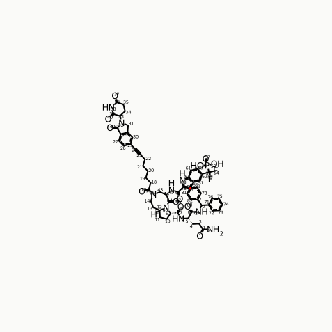 NC(=O)CC[C@H](NC(=O)[C@@H]1CC[C@@H]2CCN(C(=O)CCCCCC#Cc3ccc4c(c3)CN(C3CCC(=O)NC3=O)C4=O)C[C@H](NC(=O)c3cc4cc(C(F)(F)P(=O)(O)O)ccc4[nH]3)C(=O)N21)C(=O)NC(c1ccccc1)c1ccccc1